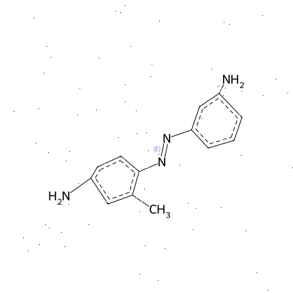 Cc1cc(N)ccc1/N=N/c1cccc(N)c1